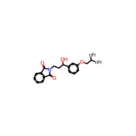 CCCC(CCC)COc1cccc(C(O)CCN2C(=O)c3ccccc3C2=O)c1